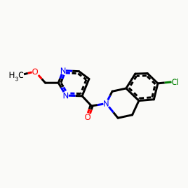 COCc1nccc(C(=O)N2CCc3cc(Cl)ccc3C2)n1